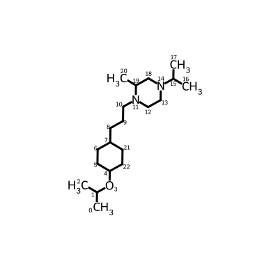 CC(C)OC1CCC(CCCN2CCN(C(C)C)CC2C)CC1